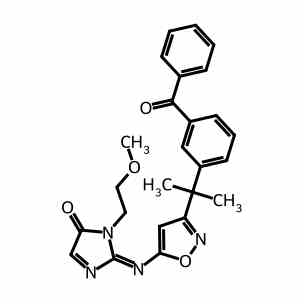 COCCN1C(=O)C=NC1=Nc1cc(C(C)(C)c2cccc(C(=O)c3ccccc3)c2)no1